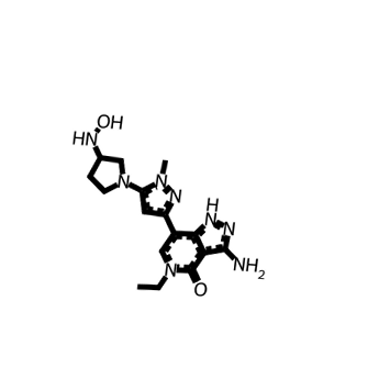 CCn1cc(-c2cc(N3CCC(NO)C3)n(C)n2)c2[nH]nc(N)c2c1=O